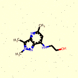 Cc1cc(NCCO)c2nn(C)c(C)c2n1